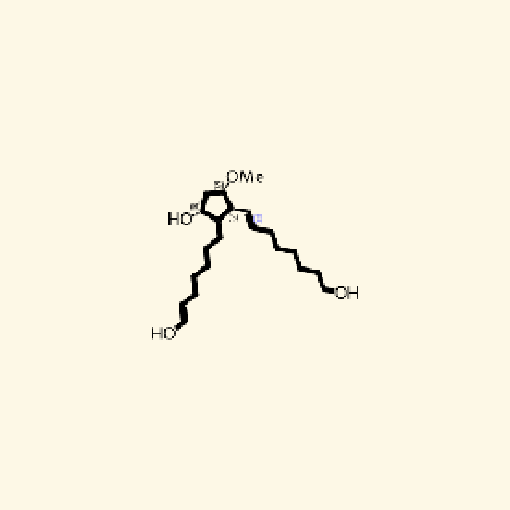 CO[C@H]1C[C@@H](O)C(CCCCCC=CO)[C@@H]1/C=C/CCCCCCO